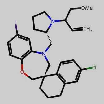 C=CC(COC)N1CCC[C@H]1CN1C[C@@]2(CCCc3cc(Cl)ccc32)COc2ccc(I)cc21